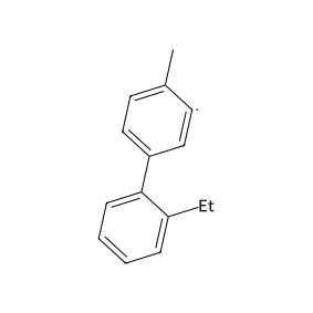 CCc1ccccc1-c1c[c]c(C)cc1